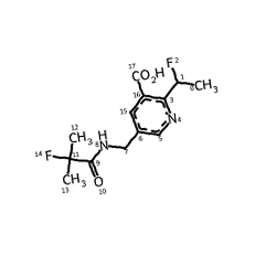 CC(F)c1ncc(CNC(=O)C(C)(C)F)cc1C(=O)O